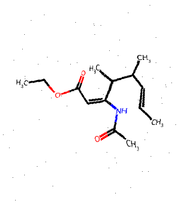 C/C=C/C(C)C(C)C(=CC(=O)OCC)NC(C)=O